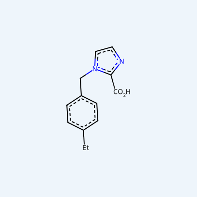 CCc1ccc(Cn2ccnc2C(=O)O)cc1